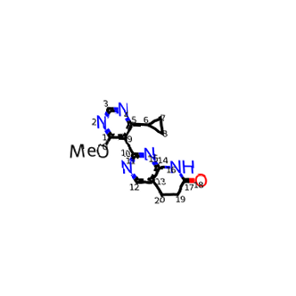 COc1ncnc(C2CC2)c1-c1ncc2c(n1)NC(=O)CC2